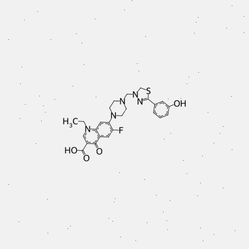 CCn1cc(C(=O)O)c(=O)c2cc(F)c(N3CCN(CN4CSC(c5cccc(O)c5)=N4)CC3)cc21